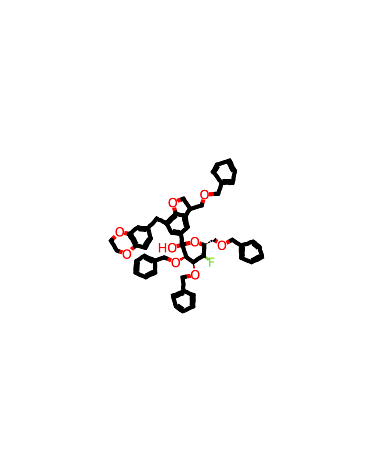 OC1(c2cc(Cc3ccc4c(c3)OCCO4)c3c(c2)C(COCc2ccccc2)CO3)O[C@H](COCc2ccccc2)[C@@H](F)[C@H](OCc2ccccc2)[C@H]1OCc1ccccc1